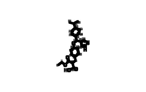 CCOC(=O)C(Cc1ccc(OC(c2ccc(C(C)C)cc2)c2cn[nH]c2)cc1)C(=O)O